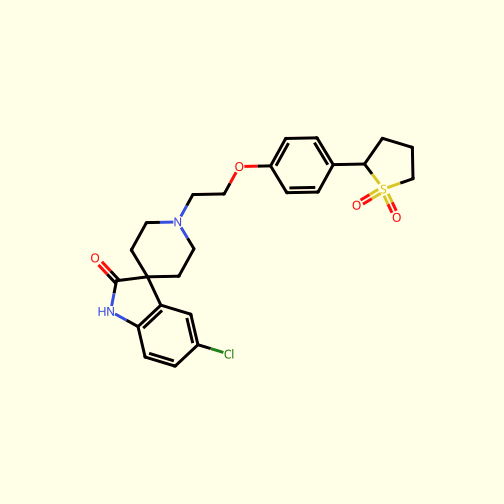 O=C1Nc2ccc(Cl)cc2C12CCN(CCOc1ccc(C3CCCS3(=O)=O)cc1)CC2